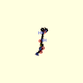 Cc1cccnc1-c1ccccc1C(=O)NCCCCCCNC(=O)CCc1ccc(N2CCN(C(=O)C=CCN(C)C)CC2=O)s1